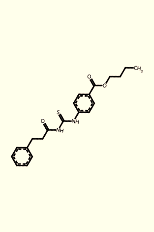 CCCCOC(=O)c1ccc(NC(=S)NC(=O)CCc2ccccc2)cc1